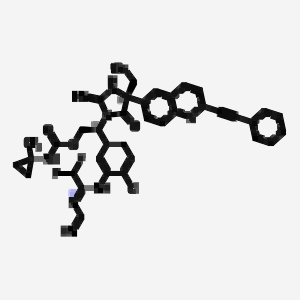 CC(C)(C)C[C@]1(c2ccc3nc(C#Cc4ccccc4)ccc3c2)NC(=N)N([C@H](COC(=O)NC2(C(F)(F)F)CC2)C2C=C(N/C(=N\C=N)C(F)F)C(Cl)=CC2)C1=O